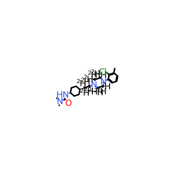 [2H]C1([2H])N(c2cccc(C)c2Cl)C([2H])([2H])C([2H])([2H])N(C([2H])([2H])C([2H])([2H])[C@H]2CC[C@H](NC(=O)N(C)C)CC2)C1([2H])[2H]